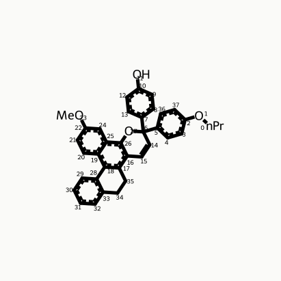 CCCOc1ccc(C2(c3ccc(O)cc3)C=Cc3c4c(c5ccc(OC)cc5c3O2)-c2ccccc2CC4)cc1